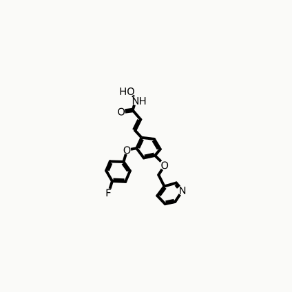 O=C(C=Cc1ccc(OCc2cccnc2)cc1Oc1ccc(F)cc1)NO